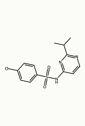 CC(C)c1nccc(NS(=O)(=O)c2ccc(Cl)cc2)n1